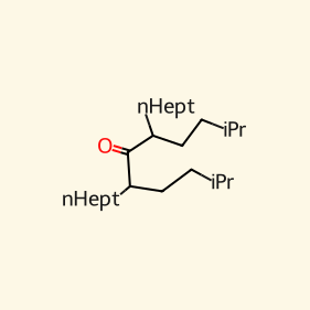 CCCCCCCC(CCC(C)C)C(=O)C(CCCCCCC)CCC(C)C